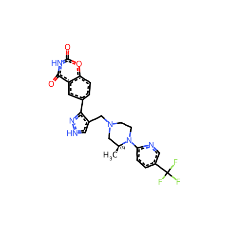 C[C@H]1CN(Cc2c[nH]nc2-c2ccc3oc(=O)[nH]c(=O)c3c2)CCN1c1ccc(C(F)(F)F)cn1